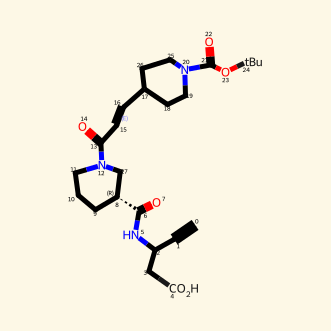 C#CC(CC(=O)O)NC(=O)[C@@H]1CCCN(C(=O)/C=C/C2CCN(C(=O)OC(C)(C)C)CC2)C1